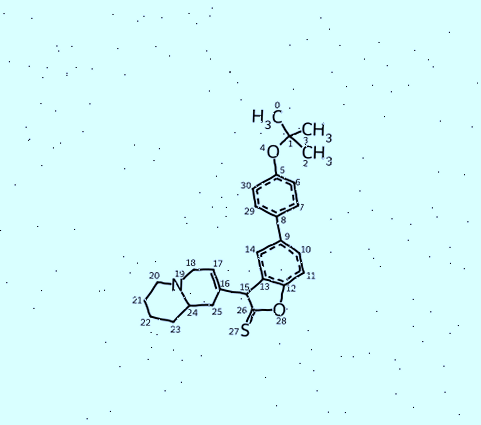 CC(C)(C)Oc1ccc(-c2ccc3c(c2)C(C2=CCN4CCCCC4C2)C(=S)O3)cc1